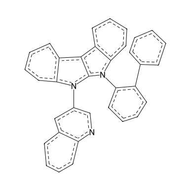 c1ccc(-c2ccccc2-n2c3ccccc3c3c4ccccc4n(-c4cnc5ccccc5c4)c32)cc1